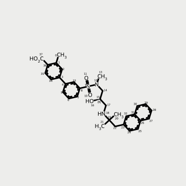 Cc1cc(-c2cccc(S(=O)(=O)N(C)C[C@H](O)CNC(C)(C)Cc3ccc4ccccc4c3)c2)ccc1C(=O)O